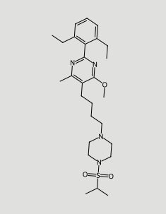 CCc1cccc(CC)c1-c1nc(C)c(CCCCN2CCN(S(=O)(=O)C(C)C)CC2)c(OC)n1